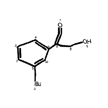 CCC(C)c1cccc(C(=O)CO)c1